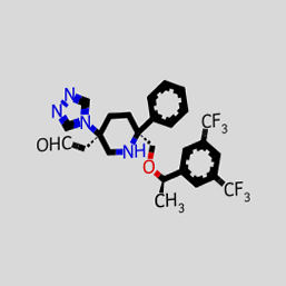 C[C@@H](OC[C@@]1(c2ccccc2)CC[C@](CC=O)(n2cnnc2)CN1)c1cc(C(F)(F)F)cc(C(F)(F)F)c1